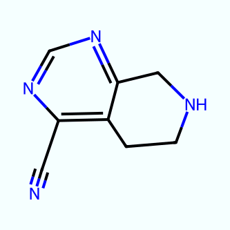 N#Cc1ncnc2c1CCNC2